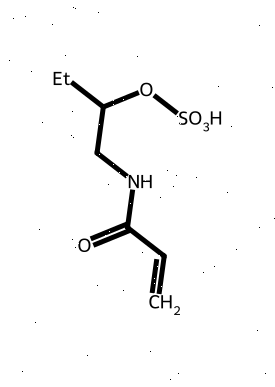 C=CC(=O)NCC(CC)OS(=O)(=O)O